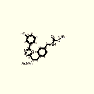 CC(=O)N[C@@H](Cc1ccc(CNC(=O)OC(C)(C)C)cc1)c1nnc(-c2cccc(F)c2)o1